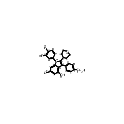 O=C(O)c1ccc(-c2c(C3CCOCC3)n(-c3ccc(F)c(F)c3)c3cc(Cl)cc(O)c23)cc1